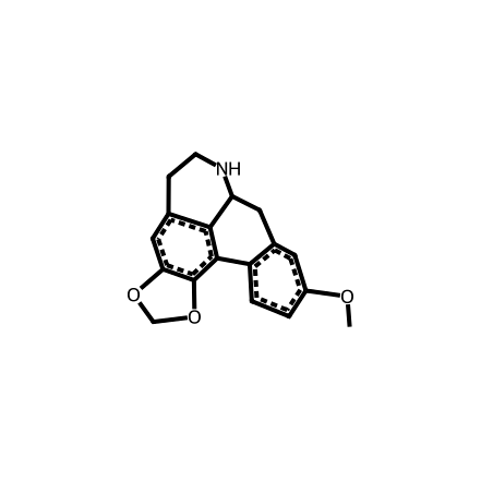 COc1ccc2c(c1)CC1NCCc3cc4c(c-2c31)OCO4